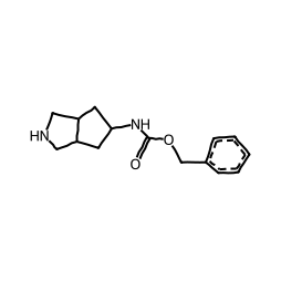 O=C(NC1CC2CNCC2C1)OCc1ccccc1